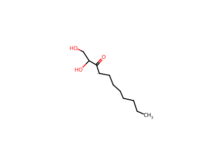 CCCCCCC[CH]C(=O)C(O)CO